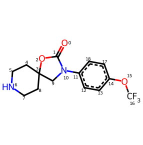 O=C1OC2(CCNCC2)CN1c1ccc(OC(F)(F)F)cc1